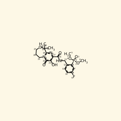 COP(=O)(OC)c1cc(F)ccc1CNC(=O)c1nc2n(c(=O)c1O)CCCOC2(C)C